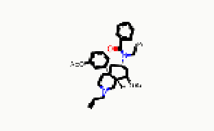 C=CCN1CC[C@@]2(c3cccc(OC(C)=O)c3)C[C@H](N(CC(C)C)C(=O)c3ccccc3)CC(OC(C)=O)[C@@H]2C1